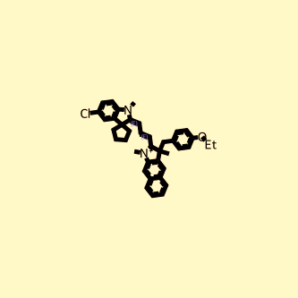 CCOc1ccc(CC2(C)C(/C=C/C=C3/N(C)c4ccc(Cl)cc4C34CCCC4)=[N+](C)c3cc4ccccc4cc32)cc1